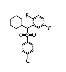 O=S(=O)(c1ccc(Cl)cc1)C(c1cc(F)ccc1F)C1CCCCC1